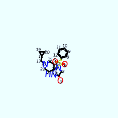 O=C1CN(S(=O)(=O)c2ccccc2)C2(CCN(CC3CC3)CC2)N1